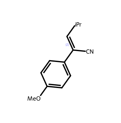 COc1ccc(/C(C#N)=C/C(C)C)cc1